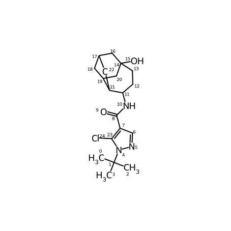 CC(C)(C)n1ncc(C(=O)NC2CCC3(O)CC4CC(C3)C2C4)c1Cl